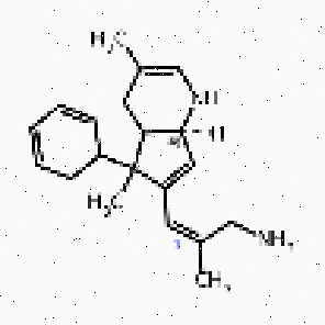 CC1=CN[C@H]2C=C(/C=C(/C)CN)C(C)(C3C=CC=CC3)C2C1